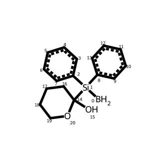 B[Si](c1ccccc1)(c1ccccc1)C1(O)CCCCO1